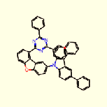 c1ccc(-c2ccc3c(c2)c2c4ccccc4ccc2n3-c2ccc3oc4cccc(-c5nc(-c6ccccc6)nc(-c6ccccc6)n5)c4c3c2)cc1